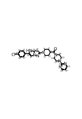 O=C(C1CCN(C2=NN3C=C(c4ccc(Cl)cc4)NC3S2)CC1)N1CCN(c2ncccn2)CC1